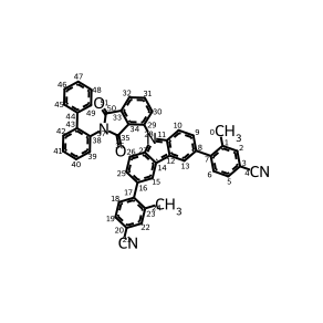 Cc1cc(C#N)ccc1-c1ccc2c(c1)c1cc(-c3ccc(C#N)cc3C)ccc1n2-c1cccc2c1C(=O)N(c1ccccc1-c1ccccc1)C2=O